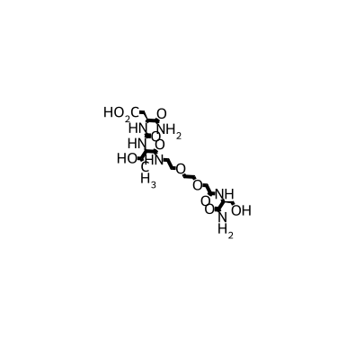 CC(O)[C@@H](NC(=O)N[C@@H](CC(=O)O)C(N)=O)C(=O)NCCOCCOCC(=O)N[C@@H](CO)C(N)=O